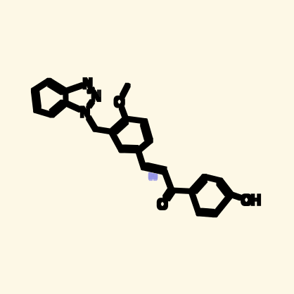 COc1ccc(/C=C/C(=O)c2ccc(O)cc2)cc1Cn1nnc2ccccc21